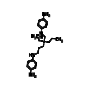 CCCC(CC)(CCCNc1ccc(N)cc1)CNc1ccc(N)cc1